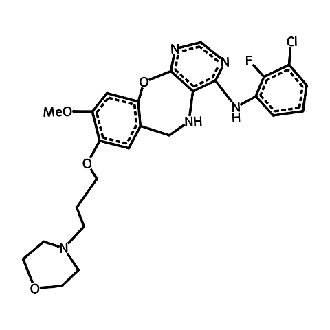 COc1cc2c(cc1OCCCN1CCOCC1)CNc1c(Nc3cccc(Cl)c3F)ncnc1O2